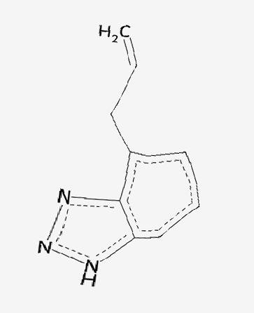 C=CCc1cccc2[nH]nnc12